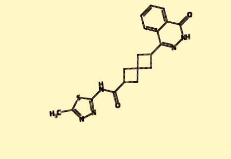 Cc1nnc(NC(=O)C2CC3(C2)CC(c2n[nH]c(=O)c4ccccc24)C3)s1